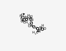 Cn1nc(C2CCC(=O)NC2=O)c2ccc(N3CCC(CN4CCN(c5ncc(Cl)c(Nc6ccc7c(c6)c6c(c(=O)n7C)OCC(F)(F)[C@H](C7CC7)N6)n5)C[C@H]4CO)CC3)cc21